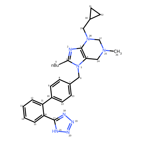 CCCCc1nc2c(n1Cc1ccc(-c3ccccc3-c3nnn[nH]3)cc1)CN(C)CN2CC1CC1